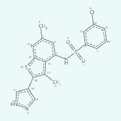 Cc1cc(NS(=O)(=O)c2cccc(Cl)c2)c2c(C)c(-c3cn[nH]c3)sc2n1